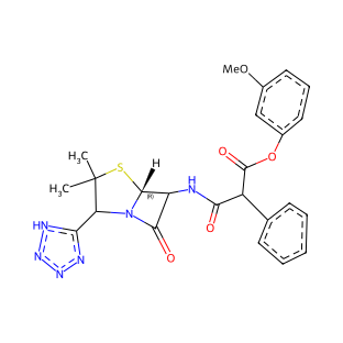 COc1cccc(OC(=O)C(C(=O)NC2C(=O)N3C(c4nnn[nH]4)C(C)(C)S[C@H]23)c2ccccc2)c1